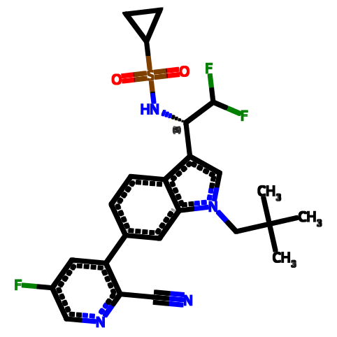 CC(C)(C)Cn1cc([C@H](NS(=O)(=O)C2CC2)C(F)F)c2ccc(-c3cc(F)cnc3C#N)cc21